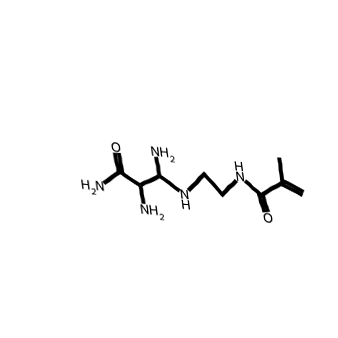 C=C(C)C(=O)NCCNC(N)C(N)C(N)=O